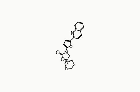 O=C1O[C@]2(CN3CCC2CC3)CN1c1ccc(-c2ccc3ccccc3n2)s1